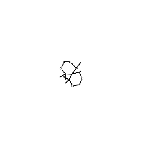 CC1OCOC(C)(C)C12C(C)(C)OCOC2(C)C